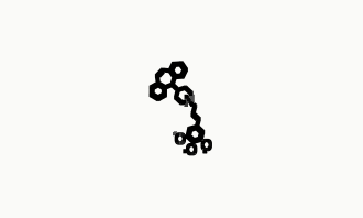 COc1cc(C=CCN2CCC(C3c4ccccc4C=Cc4ccccc43)CC2)cc(OC)c1OC